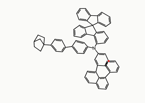 c1ccc(-c2cccc3cccc(-c4cccc(N(c5ccc(-c6ccc(C78CCC(CC7)C8)cc6)cc5)c5cccc6c5-c5ccccc5C65c6ccccc6-c6ccccc65)c4)c23)cc1